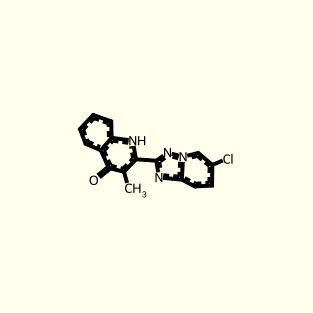 Cc1c(-c2nc3ccc(Cl)cn3n2)[nH]c2ccccc2c1=O